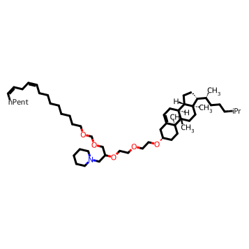 CCCCC/C=C\C/C=C\CCCCCCCCOCOCC(CN1CCCCC1)OCCOCCO[C@H]1CC[C@@]2(C)C(=CC[C@H]3[C@@H]4CC[C@H]([C@H](C)CCCC(C)C)[C@@]4(C)CC[C@@]32C)C1